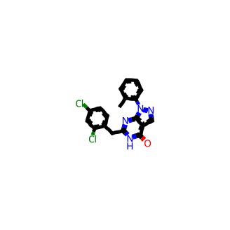 Cc1ccccc1-n1ncc2c(=O)[nH]c(Cc3ccc(Cl)cc3Cl)nc21